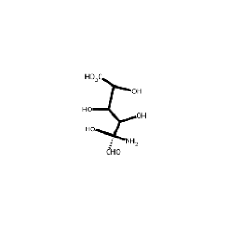 N[C@](O)(C=O)C(O)C(O)C(O)C(=O)O